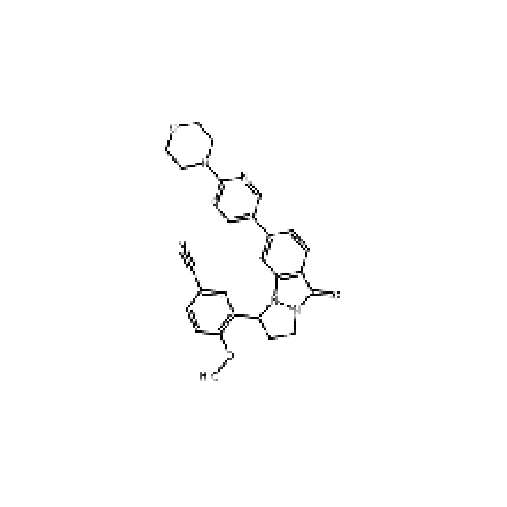 COc1ccc(C#N)cc1C1CCn2c(=O)c3ccc(-c4cnc(N5CCOCC5)nc4)cc3n21